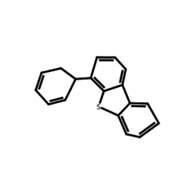 C1=CCC(c2cccc3c2sc2ccccc23)C=C1